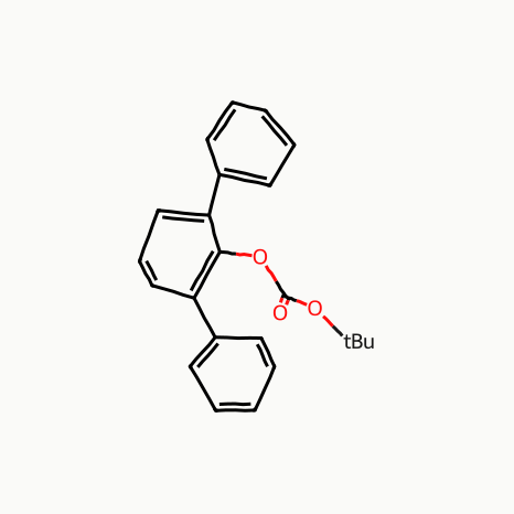 CC(C)(C)OC(=O)Oc1c(-c2ccccc2)cccc1-c1ccccc1